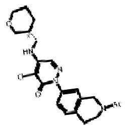 CC(=O)N1CCc2ccc(-n3ncc(NC[C@H]4CCCOC4)c(Cl)c3=O)cc2C1